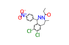 CCC(=O)N1N=C(c2ccc([N+](=O)[O-])cc2)c2cc(Cl)c(Cl)cc2CC1C